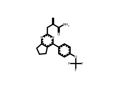 C=C(Cc1nc2c(c(-c3ccc(OC(F)(F)F)cc3)n1)CCC2)C(N)=O